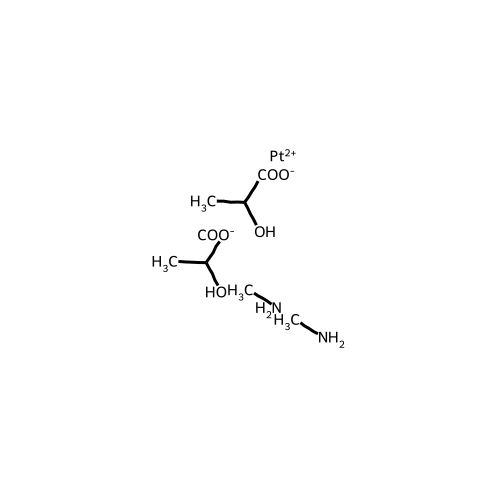 CC(O)C(=O)[O-].CC(O)C(=O)[O-].CN.CN.[Pt+2]